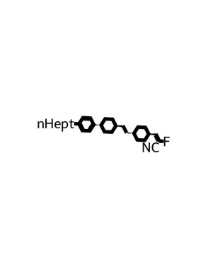 CCCCCCCc1ccc([C@H]2CC[C@H](CC[C@H]3CC[C@H](/C=C(/F)C#N)CC3)CC2)cc1